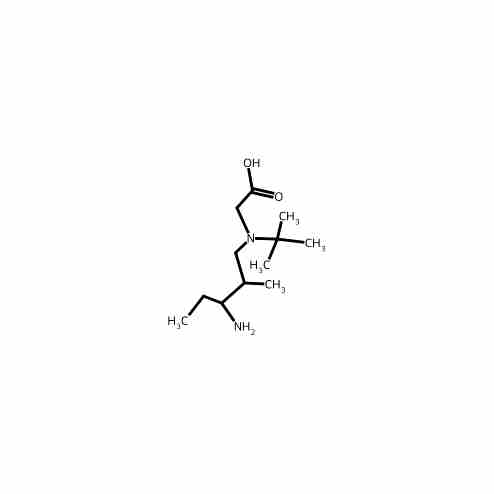 CCC(N)C(C)CN(CC(=O)O)C(C)(C)C